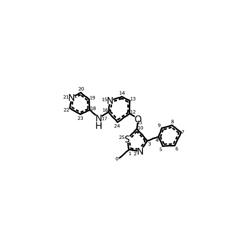 Cc1nc(-c2ccccc2)c(Oc2ccnc(Nc3ccncc3)c2)s1